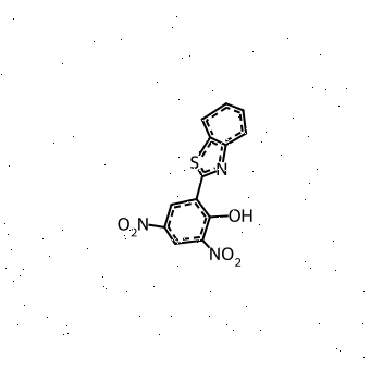 O=[N+]([O-])c1cc(-c2nc3ccccc3s2)c(O)c([N+](=O)[O-])c1